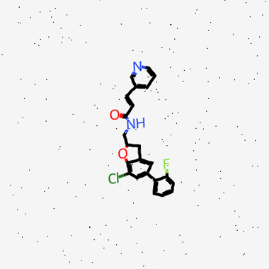 O=C(/C=C/c1cccnc1)NCC1Cc2cc(-c3ccccc3F)cc(Cl)c2O1